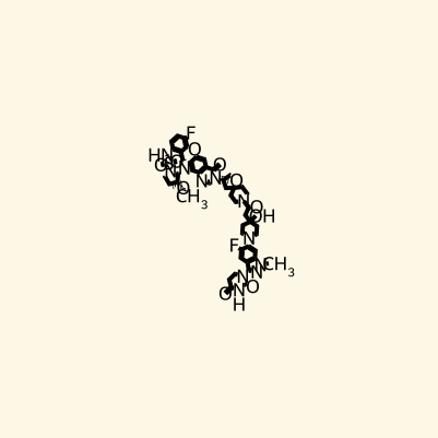 CO[C@@H]1CCN(S(=O)(=O)Nc2ccc(F)c(Oc3ccc4ncn([C@H]5COC6(CCN(C(=O)CC7(O)CCN(c8cc9c(cc8F)c(N8CCC(=O)NC8=O)nn9C)CC7)CC6)C5)c(=O)c4c3)c2C#N)C1